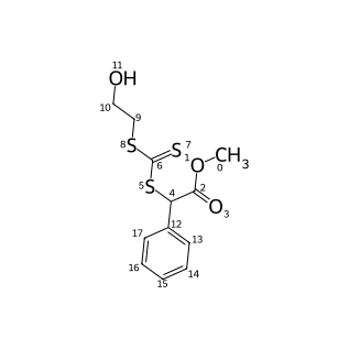 COC(=O)C(SC(=S)SCCO)c1ccccc1